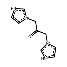 O=C(C[n+]1cc[nH]c1)C[n+]1cc[nH]c1